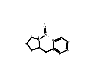 O=NN1CCCC1Cc1ccccc1